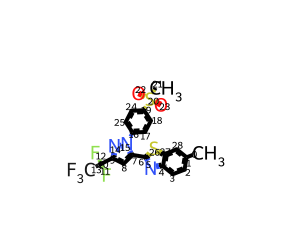 Cc1ccc2nc(-c3cc(C(F)(F)C(F)(F)F)nn3-c3ccc(S(C)(=O)=O)cc3)sc2c1